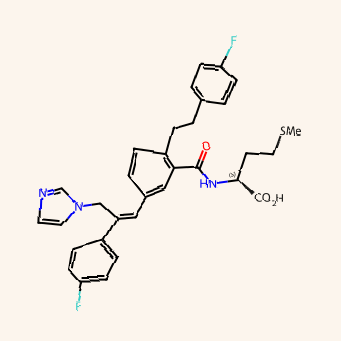 CSCC[C@H](NC(=O)c1cc(C=C(Cn2ccnc2)c2ccc(F)cc2)ccc1CCc1ccc(F)cc1)C(=O)O